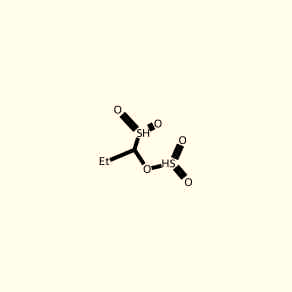 [CH2]CC(O[SH](=O)=O)[SH](=O)=O